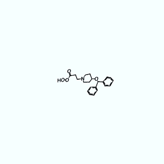 O=C(CCN1CCC(OC(c2ccccc2)c2ccccc2)CC1)OO